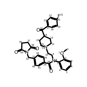 COc1ccccc1N(CCN1CCC(C(=O)c2ccc(F)cc2)CC1)C(=O)c1ccc(CN2C(=O)CCC2=O)cc1